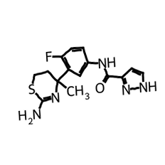 CC1(c2cc(NC(=O)c3cc[nH]n3)ccc2F)CCSC(N)=N1